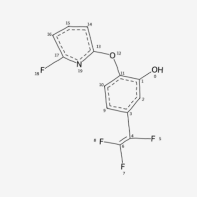 Oc1cc(C(F)=C(F)F)ccc1Oc1cccc(F)n1